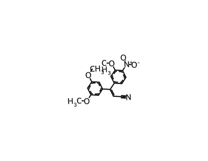 COc1cc(OC)cc(C(=CC#N)c2ccc([N+](=O)[O-])c(OC)c2)c1